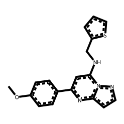 COc1ccc(-c2cc(NCc3cccs3)n3nccc3n2)cc1